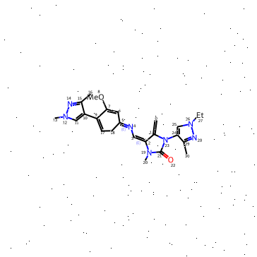 C=c1/c(=C\N=C2\C=C(OC)C(c3cn(C)nc3C)=CC2)n(C)c(=O)n1-c1cn(CC)nc1C